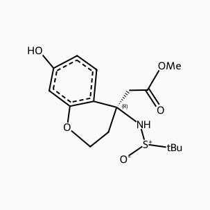 COC(=O)C[C@]1(N[S+]([O-])C(C)(C)C)CCOc2cc(O)ccc21